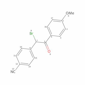 COc1ccc(C(=O)C(Br)c2ccc(C#N)cc2)cc1